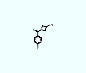 N#CC1CN(C(=O)c2ccc(Cl)nc2)C1